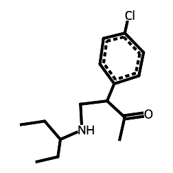 CCC(CC)NCC(C(C)=O)c1ccc(Cl)cc1